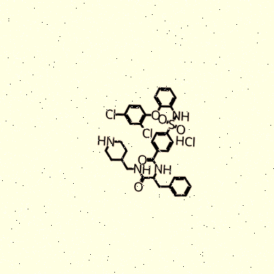 Cl.O=C(NC(Cc1ccccc1)C(=O)NCC1CCNCC1)c1ccc(S(=O)(=O)Nc2ccccc2Oc2ccc(Cl)cc2Cl)cc1